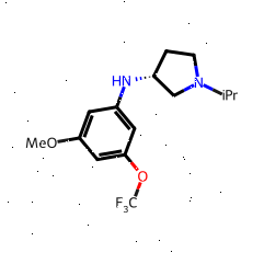 COc1cc(N[C@@H]2CCN(C(C)C)C2)cc(OC(F)(F)F)c1